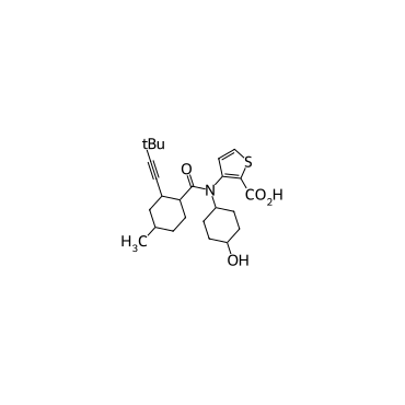 CC1CCC(C(=O)N(c2ccsc2C(=O)O)C2CCC(O)CC2)C(C#CC(C)(C)C)C1